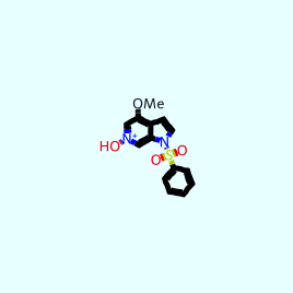 COc1c[n+](O)cc2c1ccn2S(=O)(=O)c1ccccc1